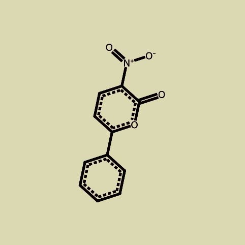 O=c1oc(-c2ccccc2)ccc1[N+](=O)[O-]